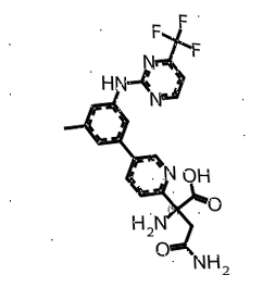 Cc1cc(Nc2nccc(C(F)(F)F)n2)cc(-c2ccc([C@@](N)(CC(N)=O)C(=O)O)nc2)c1